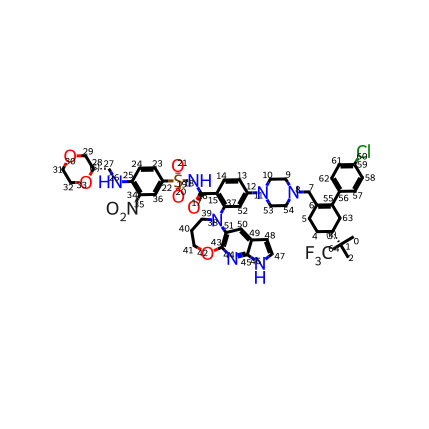 CC(C)([C@@H]1CCC(CN2CCN(c3ccc(C(=O)NS(=O)(=O)c4ccc(NC[C@H]5COCCO5)c([N+](=O)[O-])c4)c(N4CCCOc5nc6[nH]ccc6cc54)c3)CC2)=C(c2ccc(Cl)cc2)C1)C(F)(F)F